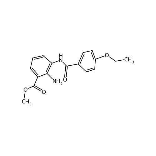 CCOc1ccc(C(=O)Nc2cccc(C(=O)OC)c2N)cc1